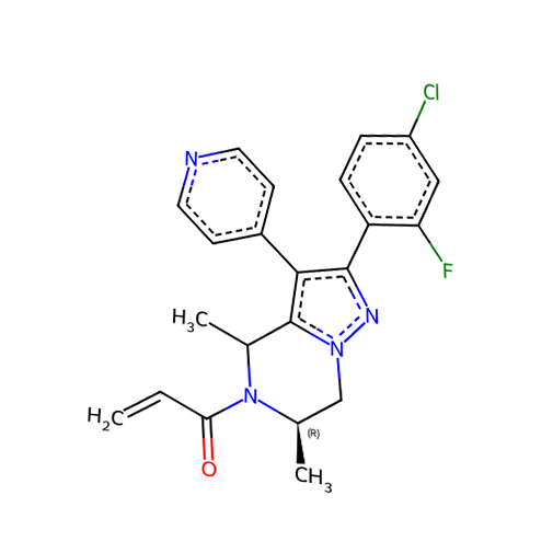 C=CC(=O)N1C(C)c2c(-c3ccncc3)c(-c3ccc(Cl)cc3F)nn2C[C@H]1C